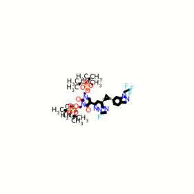 CC(C)(C)OP(=O)(OCn1cc(-c2cc([C@H]3C[C@@H]3c3ccc4cnn(CC(F)(F)F)c4c3)c3ncc(F)n3n2)c(=O)n(COP(=O)(OC(C)(C)C)OC(C)(C)C)c1=O)OC(C)(C)C